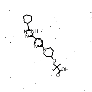 CC(C)(COC1CCN(c2ccc(-c3nnc(C4CCCCC4)[nH]3)cn2)CC1)C(=O)O